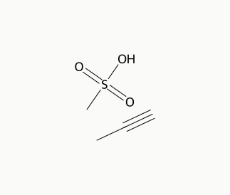 C#CC.CS(=O)(=O)O